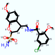 COc1ccc2c(c1)OC(S(N)(=O)=O)CC2CNC(=O)c1cc(Cl)ccc1OC